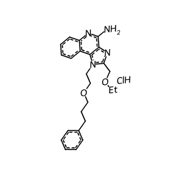 CCOCc1nc2c(N)nc3ccccc3c2n1CCOCCCc1ccccc1.Cl